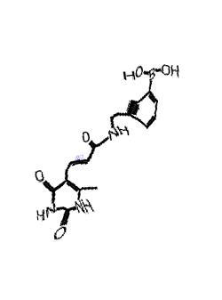 Cc1[nH]c(=O)[nH]c(=O)c1/C=C/C(=O)NCc1cccc(B(O)O)c1